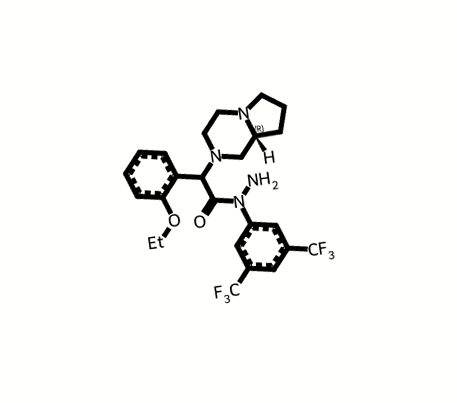 CCOc1ccccc1C(C(=O)N(N)c1cc(C(F)(F)F)cc(C(F)(F)F)c1)N1CCN2CCC[C@@H]2C1